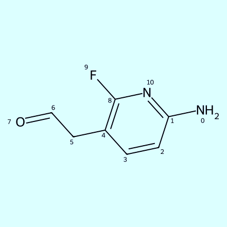 Nc1ccc(CC=O)c(F)n1